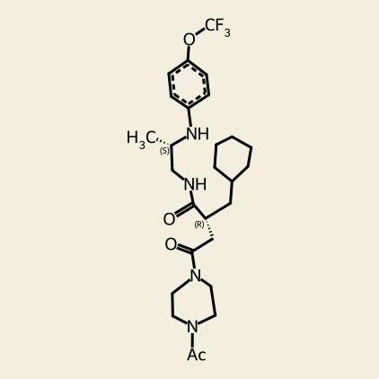 CC(=O)N1CCN(C(=O)C[C@@H](CC2CCCCC2)C(=O)NC[C@H](C)Nc2ccc(OC(F)(F)F)cc2)CC1